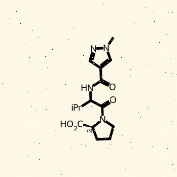 CC(C)C(NC(=O)c1cnn(C)c1)C(=O)N1CCC[C@H]1C(=O)O